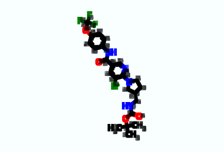 CC(C)(C)OC(=O)NC[C@@H]1CCN(c2ncc(C(=O)Nc3ccc(OC(F)(F)F)cc3)cc2Br)C1